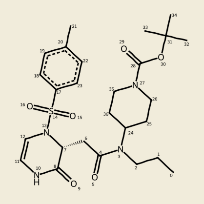 CCCN(C(=O)C[C@@H]1C(=O)NC=CN1S(=O)(=O)c1ccc(C)cc1)C1CCN(C(=O)OC(C)(C)C)CC1